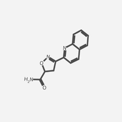 NC(=O)C1CC(c2ccc3ccccc3n2)=NO1